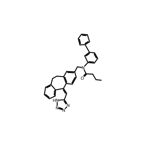 CCCC(=O)N(Cc1ccc2c(c1)CCc1ccccc1/C2=C\c1nnn[nH]1)c1cccc(-c2ccccc2)c1